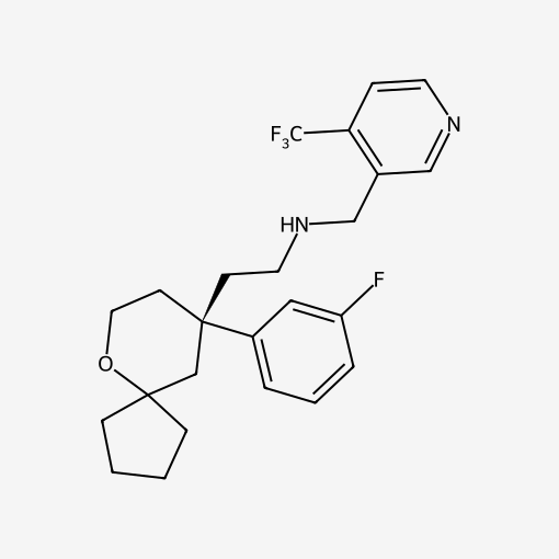 Fc1cccc([C@@]2(CCNCc3cnccc3C(F)(F)F)CCOC3(CCCC3)C2)c1